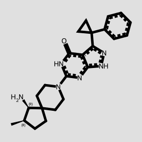 C[C@@H]1CCC2(CCN(c3nc4[nH]nc(C5(c6ccccc6)CC5)c4c(=O)[nH]3)CC2)[C@@H]1N